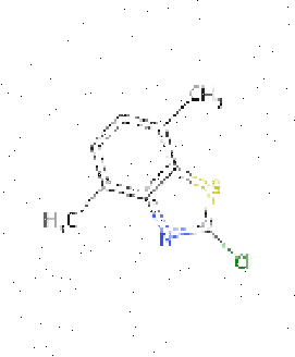 Cc1ccc(C)c2sc(Cl)nc12